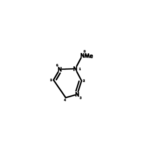 CNN1C=NCC=N1